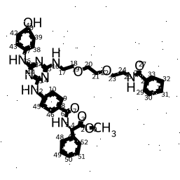 COC(=O)[C@H](NC(=O)c1ccc(Nc2nc(NCCOCCOCCNC(=O)c3ccccc3)nc(Nc3ccc(O)cc3)n2)cc1)c1ccccc1